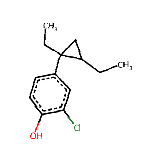 CCC1CC1(CC)c1ccc(O)c(Cl)c1